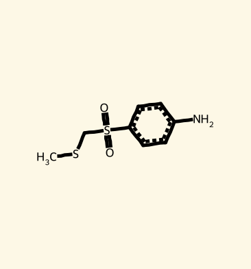 CSCS(=O)(=O)c1ccc(N)cc1